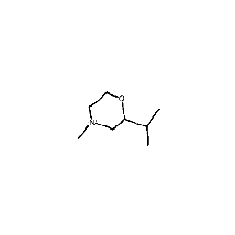 CC(C)C1C[N+](C)CCO1